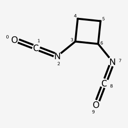 O=C=NC1CCC1N=C=O